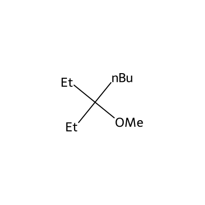 CCCCC(CC)(CC)OC